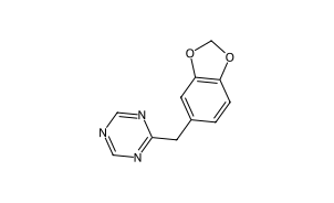 c1ncnc(Cc2ccc3c(c2)OCO3)n1